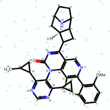 COc1cccc(F)c1-c1ncc2c(C3CC4C5CCC(C[C@H]34)N5)nc(=O)n(-c3c(C4CC4)ncnc3C3CC3C)c2c1F